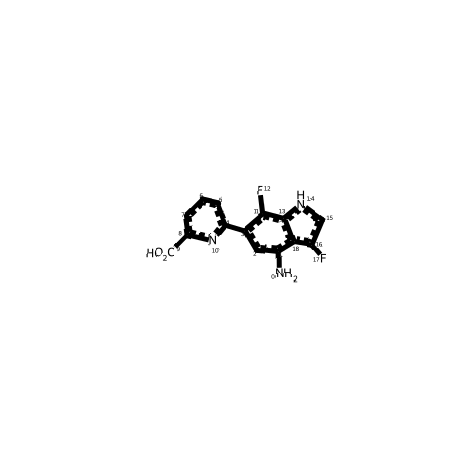 Nc1cc(-c2cccc(C(=O)O)n2)c(F)c2[nH]cc(F)c12